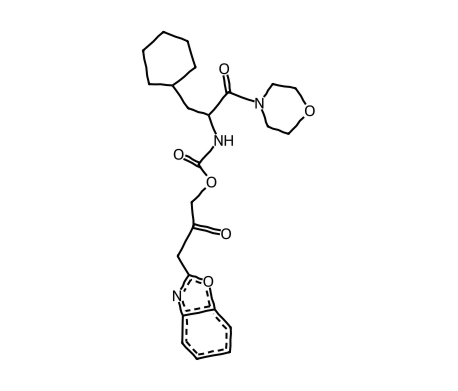 O=C(COC(=O)NC(CC1CCCCC1)C(=O)N1CCOCC1)Cc1nc2ccccc2o1